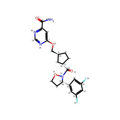 NC(=O)c1cc(OC[C@H]2CC[C@H](C(=O)N3OCC[C@H]3c3cc(F)cc(F)c3)C2)ncn1